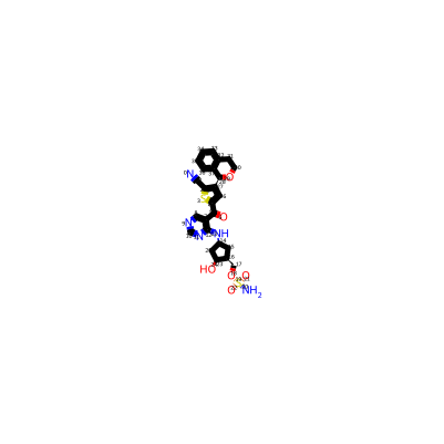 N#Cc1sc(C(=O)c2cncnc2N[C@@H]2C[C@H](COS(N)(=O)=O)[C@@H](O)C2)cc1[C@H]1OCCc2ccccc21